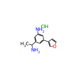 CC(N)c1cc(N)cc(-c2ccoc2)c1.Cl